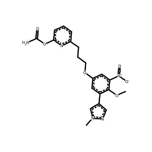 COc1c(-c2cnn(C)c2)cc(OCCCc2cccc(OC(N)=O)n2)cc1[N+](=O)[O-]